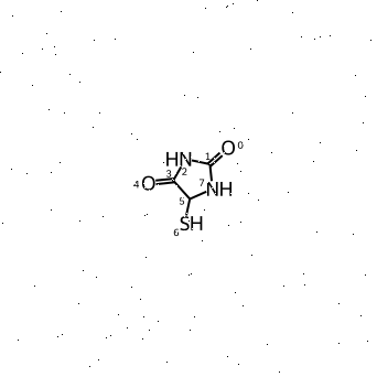 O=C1NC(=O)C(S)N1